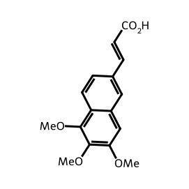 COc1cc2cc(/C=C/C(=O)O)ccc2c(OC)c1OC